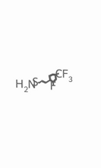 NSC/C=C/c1ccc(C(F)(F)F)cc1F